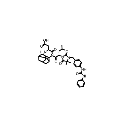 CC(C)C[C@@H](C(=O)N(C(=O)[C@@H](N)CC(=O)O)C1C2CC3CC(C2)CC1C3)N1C(=O)N(Cc2ccc(NC(=O)Nc3ccccc3)cc2)C(C)(C)C1=O